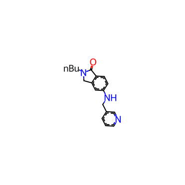 CCCCN1Cc2cc(NCc3cccnc3)ccc2C1=O